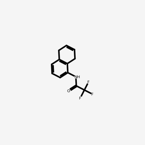 O=C(Nc1cccc2c1CC=CC2)C(F)(F)F